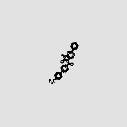 Cn1c(=O)n(C(=O)N2CCN(c3ccc(C(F)(F)F)cc3)CC2)c2cnc(-c3ccccc3)nc21